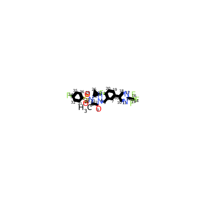 C[C@@H](C(=O)NCc1cc(-c2cnc(C(F)(F)F)nc2)ccc1F)N(C1CC1)S(=O)(=O)c1ccc(F)cc1